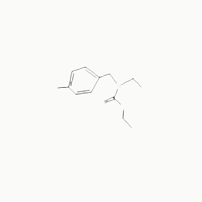 CCOC(=O)N(CC)Cc1ccc(S)cc1